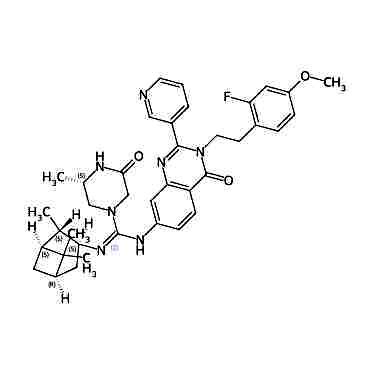 COc1ccc(CCn2c(-c3cccnc3)nc3cc(N/C(=N/[C@H]4C[C@H]5C[C@@H]([C@@H]4C)C5(C)C)N4CC(=O)N[C@@H](C)C4)ccc3c2=O)c(F)c1